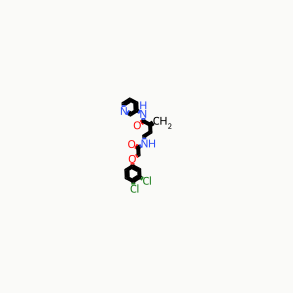 C=C(CCNC(=O)COc1ccc(Cl)c(Cl)c1)C(=O)Nc1cccnc1